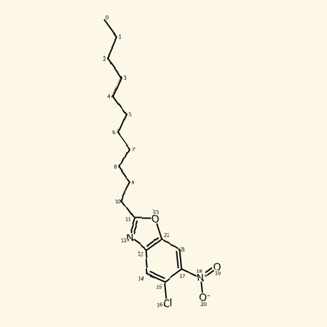 CCCCCCCCCCCc1nc2cc(Cl)c([N+](=O)[O-])cc2o1